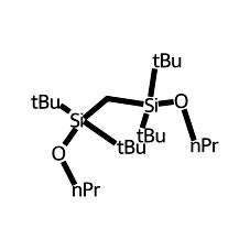 CCCO[Si](C[Si](OCCC)(C(C)(C)C)C(C)(C)C)(C(C)(C)C)C(C)(C)C